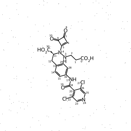 O=C(O)CCNN(c1cc(=O)c1=O)[C@@H](Cc1ccc(NC(=O)c2c(Cl)cncc2Cl)cc1)C(=O)O